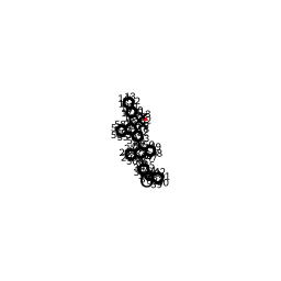 CC(C)(C)C1(C(C)(C)C)c2cc3ccccc3cc2-c2c1c1ccc(-c3c4ccccc4c(-c4ccc5oc6ccccc6c5c4)c4ccccc34)cc1c1ccccc21